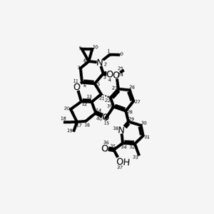 CCN1C(=O)C2=C(CC13CC3)OC1=C(C(=O)CC(C)(C)C1)[C@H]2c1c(OC)ccc(-c2ccc(C)c(C(=O)O)n2)c1C